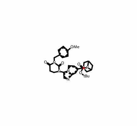 COc1ccc(CN2C(=O)CCN(c3cnc4cc(N5CC6CC(C5)N6C(=O)OC(C)(C)C)ccn34)C2=O)cc1